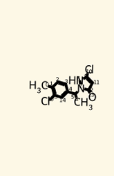 Cc1ccc(C(C)n2[nH]c(Cl)cc2=O)cc1Cl